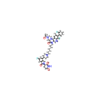 CCC(=O)N1CCN2c3c(cnc4c(F)c(-c5ccccc5F)c(C)cc34)N(CCCCCCCN3CCC(c4cc(F)cc5c4CN(C4CCC(=O)NC4=O)C5=O)CC3)C(=O)C2C1